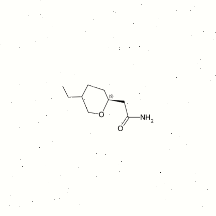 CCC1CC[C@@H](CC(N)=O)OC1